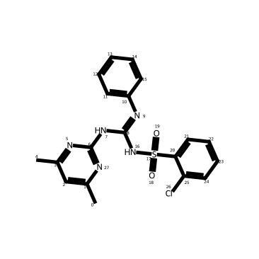 Cc1cc(C)nc(NC(=Nc2ccccc2)NS(=O)(=O)c2ccccc2Cl)n1